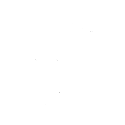 CCCCCCCSCC(C)C(=O)OCCOC(=O)CCN(CCCCCCCCC(C)C(=O)OCC(CCCCC)CCCCC)CCCN(CC)CC